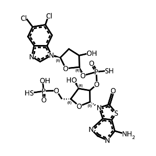 Nc1ncnc2c1sc(=O)n2[C@@H]1O[C@H](COP(=O)(O)S)[C@@H](O)C1OP(=O)(S)O[C@H]1O[C@@H](n2cnc3cc(Cl)c(Cl)cc32)CC1O